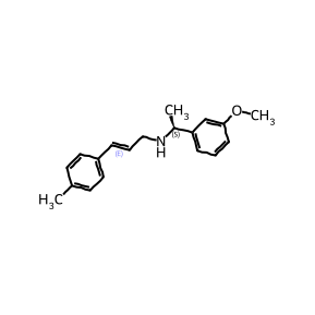 COc1cccc([C@H](C)NC/C=C/c2ccc(C)cc2)c1